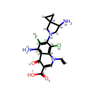 C=Cn1cc(C(=O)O)c(=O)c2c(N)c(F)c(N3CC(N)C4(CC4)C3)c(Cl)c21